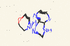 C1COCCN1.c1cnc2[nH]cnc2n1